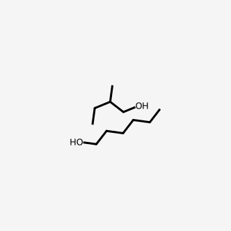 CCC(C)CO.CCCCCCO